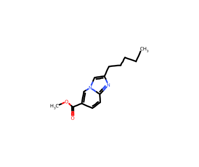 CCCCCc1cn2cc(C(=O)OC)ccc2n1